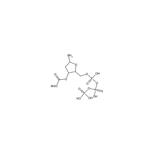 BC1CC(OC(=O)OC)C(COP(=O)(O)OP(O)(=S)OP(=O)(O)O)O1